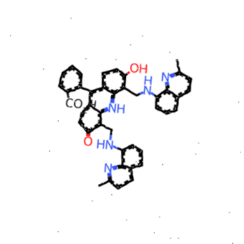 Cc1ccc2cccc(NCc3c4[nH]c5c(CNc6cccc7ccc(C)nc67)c(O)ccc5c(-c5ccccc5C(=O)O)c-4ccc3=O)c2n1